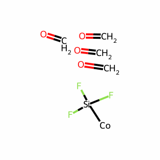 C=O.C=O.C=O.C=O.F[Si](F)(F)[Co]